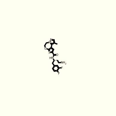 Cc1cnn2c1-c1cc(C(=O)N[C@H](CCN)Cc3ccc(F)c(F)c3)sc1OCC2